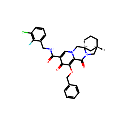 O=C(NCc1cccc(Cl)c1F)c1cn2c(c(OCc3ccccc3)c1=O)C(=O)N1C[C@H]3CCC[C@@]1(C3)C2